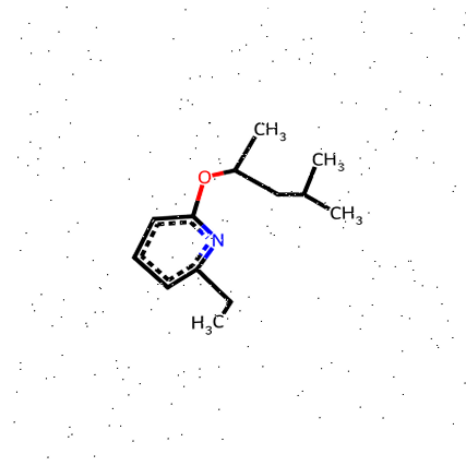 CCc1cccc(OC(C)CC(C)C)n1